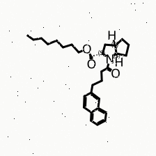 CCCCCCCCOC(=O)[C@@H]1C[C@@H]2CCC[C@@H]2N1C(=O)CCCc1ccc2ccccc2c1